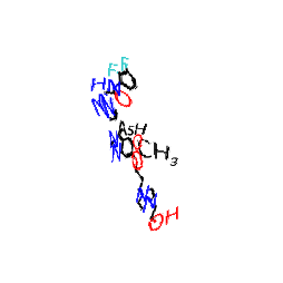 COc1cc2c([AsH]c3cnn(CC(=O)Nc4cccc(F)c4F)c3)ncnc2cc1OCCCN1CCN(CCO)CC1